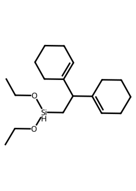 CCO[SiH](CC(C1=CCCCC1)C1=CCCCC1)OCC